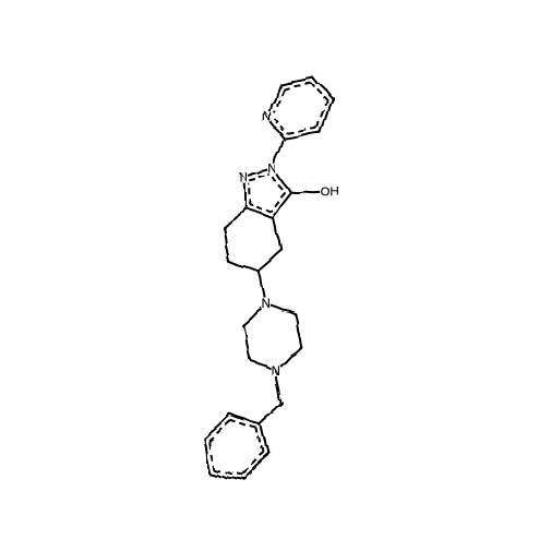 Oc1c2c(nn1-c1ccccn1)CCC(N1CCN(Cc3ccccc3)CC1)C2